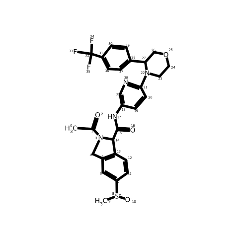 CC(=O)N1Cc2cc([S+](C)[O-])ccc2C1C(=O)Nc1ccc(N2CCOCC2c2ccc(C(F)(F)F)cc2)nc1